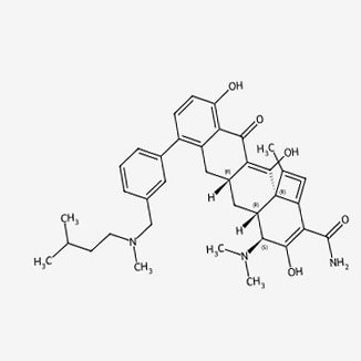 CC1=C=C2C(C(N)=O)=C(O)[C@@H](N(C)C)[C@@H]3C[C@@H]4Cc5c(-c6cccc(CN(C)CCC(C)C)c6)ccc(O)c5C(=O)C4=C(O)[C@]123